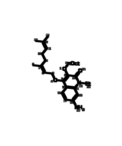 CCCCCCCCOc1c(OCC=C(C)CCC=C(C)C)c2ccc(N)cc2n(CC)c1=O